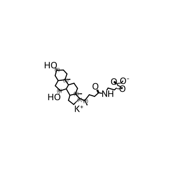 C[C@H](CCC(=O)NCCS(=O)(=O)[O-])[C@H]1CCC2C3C(CC[C@@]21C)[C@@]1(C)CC[C@@H](O)CC1C[C@H]3O.[K+]